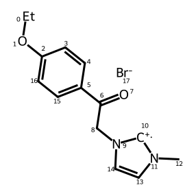 CCOc1ccc(C(=O)CN2[C+]N(C)C=C2)cc1.[Br-]